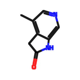 Cc1cncc2c1CC(=O)N2